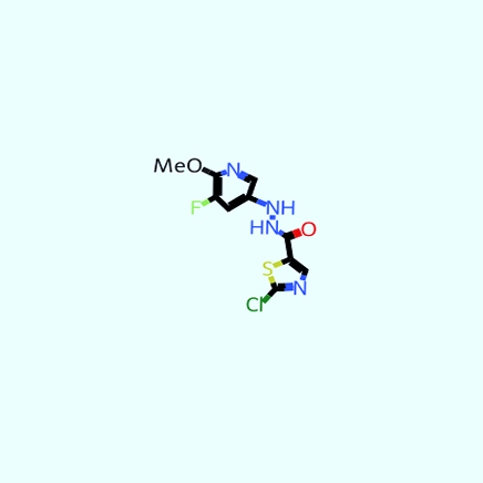 COc1ncc(NNC(=O)c2cnc(Cl)s2)cc1F